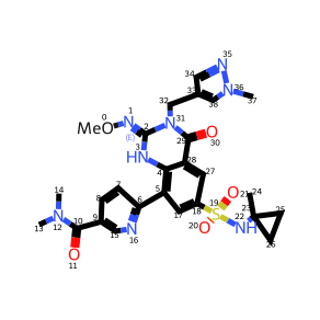 CO/N=c1\[nH]c2c(-c3ccc(C(=O)N(C)C)cn3)cc(S(=O)(=O)NC3(C)CC3)cc2c(=O)n1Cc1cnn(C)c1